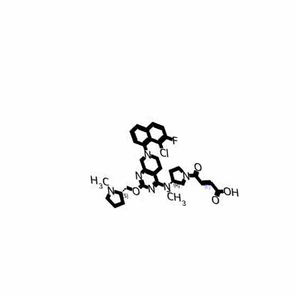 CN1CCC[C@H]1COc1nc2c(c(N(C)[C@@H]3CCN(C(=O)/C=C/C(=O)O)C3)n1)CCN(c1cccc3ccc(F)c(Cl)c13)C2